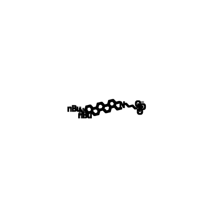 CCCC[N+](CCCC)=c1ccc2c(ccc3c2ccc2c4ccc5cn(CCCCS(=O)(=O)[O-])ccc5c4ccc32)c1